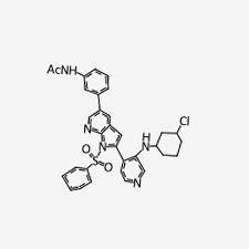 CC(=O)Nc1cccc(-c2cnc3c(c2)cc(-c2ccncc2NC2CCCC(Cl)C2)n3S(=O)(=O)c2ccccc2)c1